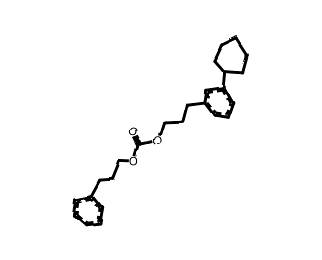 O=C(OCCCc1ccccc1)OCCCc1cccc(C2CCCCC2)c1